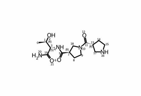 C[C@@H](O)[C@H](NC(=O)[C@@H]1CCN(C(=O)[C@@H]2CCNC2)C1)C(N)=O